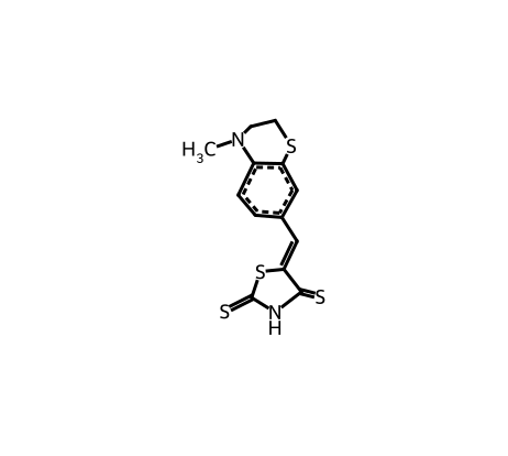 CN1CCSc2cc(/C=C3\SC(=S)NC3=S)ccc21